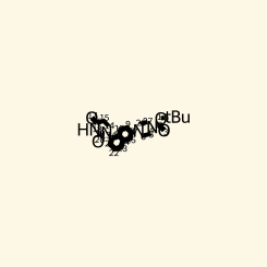 CC(C)(C)OC(=O)N1CCN(c2ccc3c(N4CCC(=O)NC4=O)cccc3c2)CC1